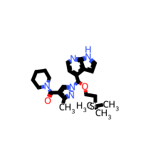 Cc1nn(C(OCC[Si](C)(C)C)c2ccnc3[nH]ccc23)cc1C(=O)N1CCCCC1